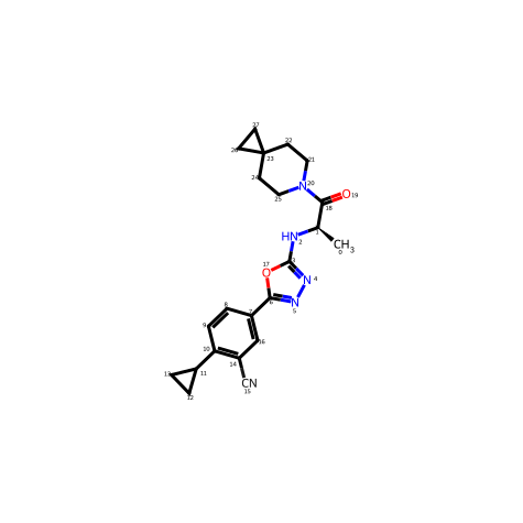 C[C@@H](Nc1nnc(-c2ccc(C3CC3)c(C#N)c2)o1)C(=O)N1CCC2(CC1)CC2